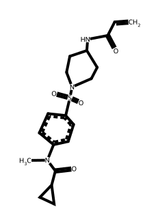 C=CC(=O)NC1CCN(S(=O)(=O)c2ccc(N(C)C(=O)C3CC3)cc2)CC1